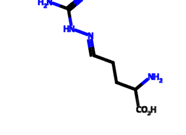 N=C(N)N/N=C/CCC(N)C(=O)O